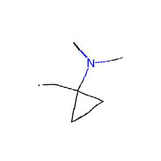 [CH2]C1(N(C)C)CC1